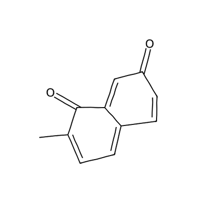 CC1=CC=C2C=CC(=O)C=C2C1=O